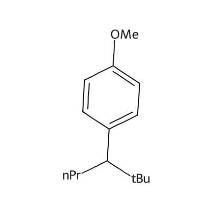 CCCC(c1ccc(OC)cc1)C(C)(C)C